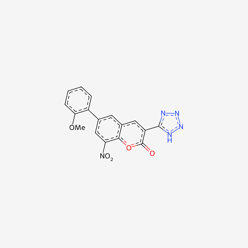 COc1ccccc1-c1cc([N+](=O)[O-])c2oc(=O)c(-c3nnn[nH]3)cc2c1